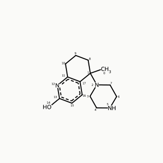 CC1(N2CCNCC2)CCCc2nc(O)ccc21